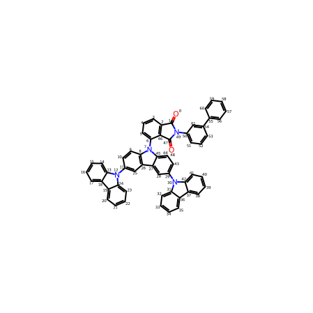 O=C1c2cccc(-n3c4ccc(-n5c6ccccc6c6ccccc65)cc4c4cc(-n5c6ccccc6c6ccccc65)ccc43)c2C(=O)N1c1cccc(-c2ccccc2)c1